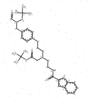 CC(C)(C)OC(=O)CN(CCCc1ccc(CN(C=O)OC(C)(C)C)cc1)CCNC(=O)c1cc2ccccc2s1